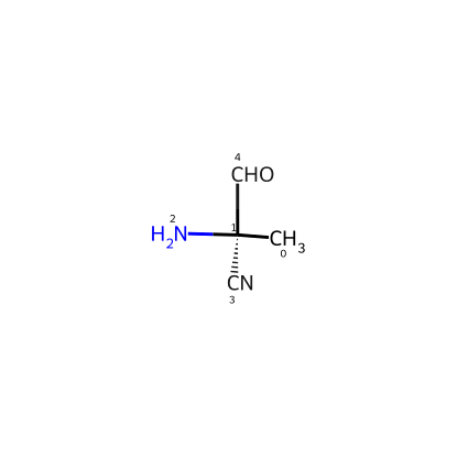 C[C@](N)(C#N)C=O